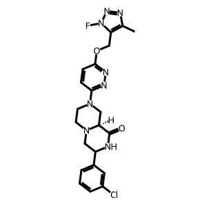 Cc1nnn(F)c1COc1ccc(N2CCN3CC(c4cccc(Cl)c4)NC(=O)[C@@H]3C2)nn1